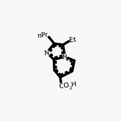 CCCc1nc2cc(C(=O)O)ccn2c1CC